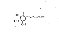 CCCCCCCCCCCCc1cc(O)c(O)c(O)c1C